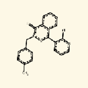 Cc1ccc(Cn2nc(-c3cccnc3Cl)c3ccccc3c2=O)cc1